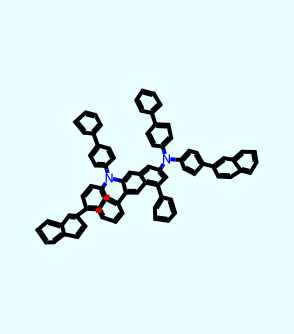 c1ccc(-c2ccc(N(c3ccc(-c4ccc5ccccc5c4)cc3)c3cc(-c4ccccc4)c4cc(-c5ccccc5)c(N(c5ccc(-c6ccccc6)cc5)c5ccc(-c6ccc7ccccc7c6)cc5)cc4c3)cc2)cc1